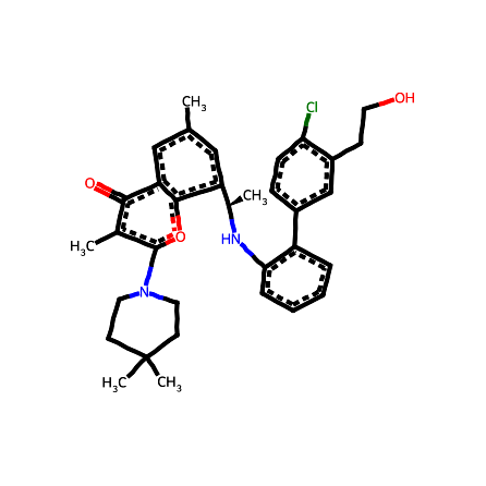 Cc1cc([C@@H](C)Nc2ccccc2-c2ccc(Cl)c(CCO)c2)c2oc(N3CCC(C)(C)CC3)c(C)c(=O)c2c1